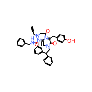 C#CCN1CC(=O)N2[C@@H](Cc3ccc(O)cc3)C(=O)N(CC(c3ccccc3)c3ccccc3)C[C@@H]2N1C(=O)NCc1ccccc1